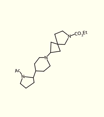 CCOC(=O)N1CCC2(CC(N3CCC(C4CCCN4C(C)=O)CC3)C2)C1